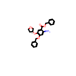 Nc1cc(OCc2ccccc2)c(O[C@H]2CCOC2)cc1C(=O)OCc1ccccc1